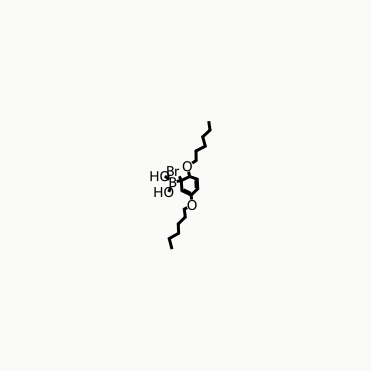 CCCCCCOC1=CC(Br)(B(O)O)C(OCCCCCC)C=C1